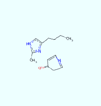 CCCCc1c[nH]c(C)n1.O=C1C=CN=CC1